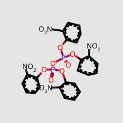 O=[N+]([O-])c1ccccc1OP(=O)(Oc1ccccc1[N+](=O)[O-])OP(=O)(Oc1ccccc1[N+](=O)[O-])Oc1ccccc1[N+](=O)[O-]